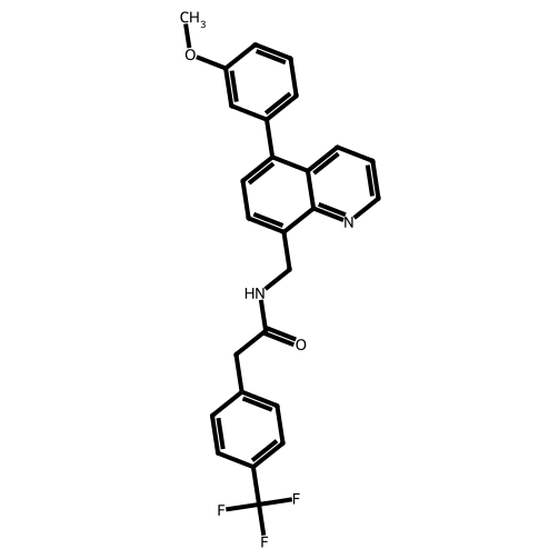 COc1cccc(-c2ccc(CNC(=O)Cc3ccc(C(F)(F)F)cc3)c3ncccc23)c1